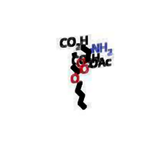 CC(=O)O.CC(=O)OC(=O)C(N)CC(=O)O.CCCCCOC(C)=O